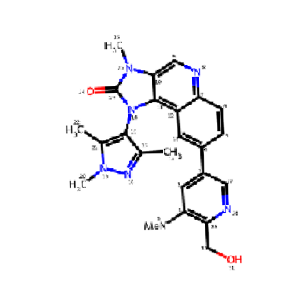 CNc1cc(-c2ccc3ncc4c(c3c2)n(-c2c(C)nn(C)c2C)c(=O)n4C)cnc1CO